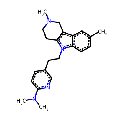 Cc1ccc2c(c1)c1c(n2CCc2ccc(N(C)C)nc2)CCN(C)C1